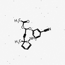 CC(=O)OC(C#CC1(C)C=CC=CN1N)Oc1cccc(C#N)c1